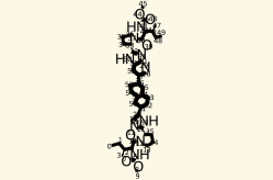 CC[C@H](C)[C@H](NC(=O)OC)C(=O)N1CCC[C@H]1c1ncc(-c2ccc3cc(-c4cnc5nc([C@@H]6CCCN6C(=O)[C@@H](NC(=O)OC)[C@@H](C)CC)[nH]c5c4)ccc3c2)[nH]1